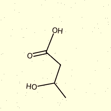 C[C](O)CC(=O)O